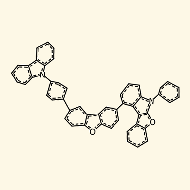 c1ccc(-n2c3cccc(-c4ccc5oc6ccc(-c7ccc(-n8c9ccccc9c9ccccc98)cc7)cc6c5c4)c3c3c4ccccc4oc32)cc1